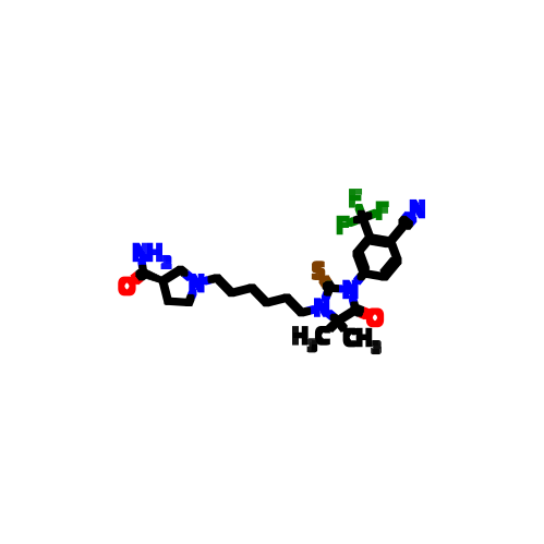 CC1(C)C(=O)N(c2ccc(C#N)c(C(F)(F)F)c2)C(=S)N1CCCCCCN1CC[C@@H](C(N)=O)C1